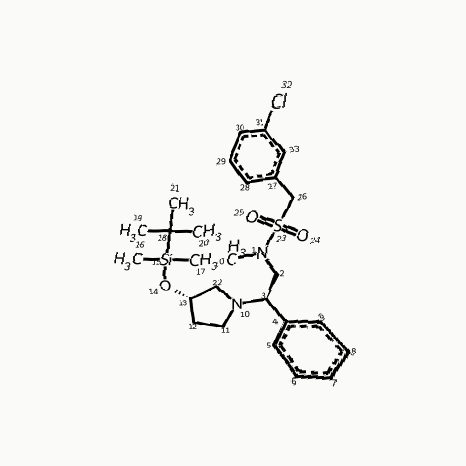 CN(C[C@@H](c1ccccc1)N1CC[C@H](O[Si](C)(C)C(C)(C)C)C1)S(=O)(=O)Cc1cccc(Cl)c1